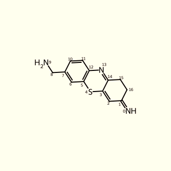 N=C1C=C2Sc3cc(CN)ccc3N=C2CC1